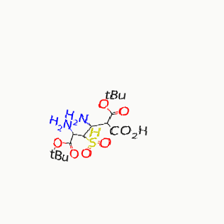 CC(C)(C)OC(=O)C(N)C(C(N)C(C(=O)O)C(=O)OC(C)(C)C)[SH](=O)=O